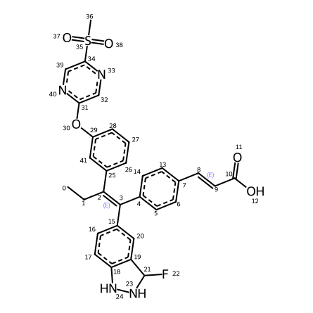 CC/C(=C(/c1ccc(/C=C/C(=O)O)cc1)c1ccc2c(c1)C(F)NN2)c1cccc(Oc2cnc(S(C)(=O)=O)cn2)c1